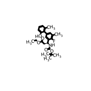 CCOC(=O)C[C@H](NC(=O)OC(C)(C)C)c1cc(-c2c(C)cccc2O)cc(C)c1F